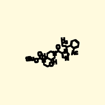 CC(=O)c1ccccc1[C@H](C)n1cncc1C(=O)N1CC[C@@H]2[C@@H](C1)OCCN2C(=O)OC(C)(C)C